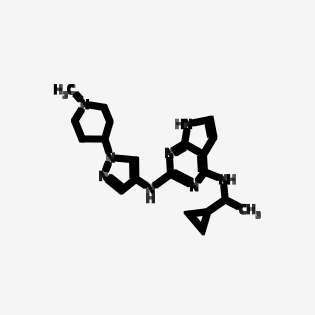 CC(Nc1nc(Nc2cnn(C3CCN(C)CC3)c2)nc2[nH]ccc12)C1CC1